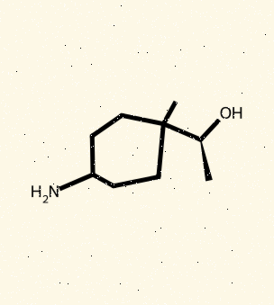 C[C@H](O)C1(C)CCC(N)CC1